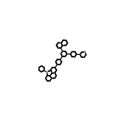 c1ccc(-n2c3cccc4ccc5cc(-c6ccc(-c7cc(-c8ccc(-c9cccnc9)cc8)cc(-c8cccc9ccccc89)c7)cc6)cc2c5c43)cc1